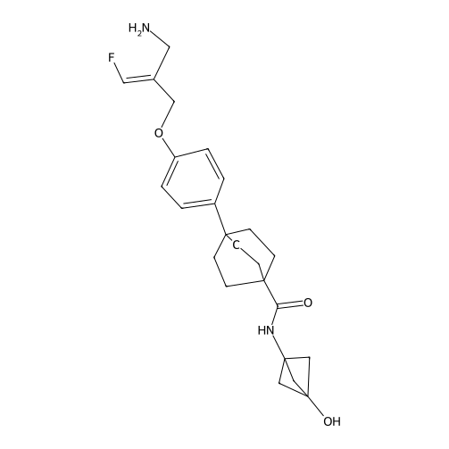 NCC(=CF)COc1ccc(C23CCC(C(=O)NC45CC(O)(C4)C5)(CC2)CC3)cc1